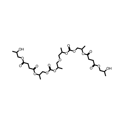 CC(O)COC(=O)CCC(=O)OC(C)COC(=O)OC(C)COCC(C)OC(=O)OCC(C)OC(=O)CCC(=O)OCC(C)O